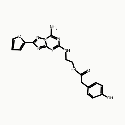 Nc1nc(NCCNC(=O)Cc2ccc(O)cc2)nc2nc(-c3ccco3)nn12